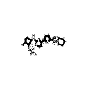 Cc1ccc(Nc2nccc(-c3ccc(S(=O)(=O)N4CCCCC4)s3)n2)cc1SS(C)(=O)=O